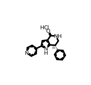 Cl.O=C1NC[C@H](c2ccccc2)c2[nH]c(-c3ccncc3)cc21